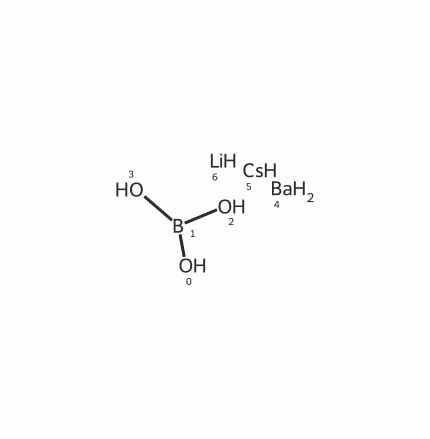 OB(O)O.[BaH2].[CsH].[LiH]